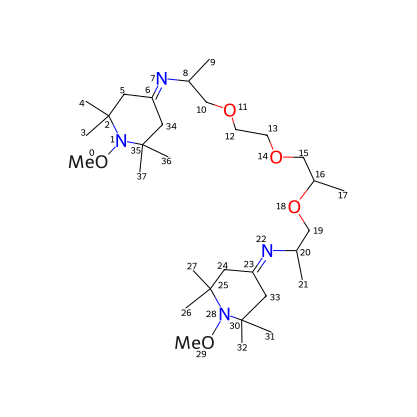 CON1C(C)(C)CC(=NC(C)COCCOCC(C)OCC(C)N=C2CC(C)(C)N(OC)C(C)(C)C2)CC1(C)C